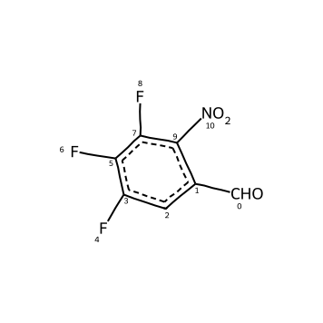 O=Cc1cc(F)c(F)c(F)c1[N+](=O)[O-]